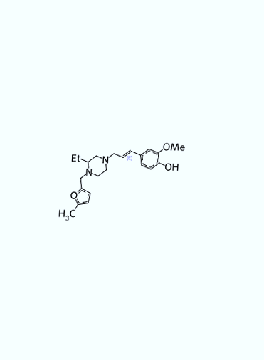 CCC1CN(C/C=C/c2ccc(O)c(OC)c2)CCN1Cc1ccc(C)o1